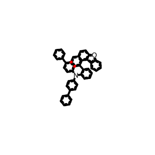 c1ccc(-c2ccc(N(c3ccc(-c4ccccc4)cc3)c3ccccc3-c3cccc4ccc5oc6ccccc6c5c34)cc2)cc1